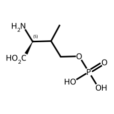 CC(COP(=O)(O)O)[C@H](N)C(=O)O